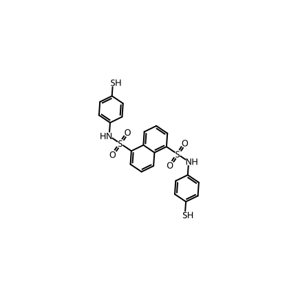 O=S(=O)(Nc1ccc(S)cc1)c1cccc2c(S(=O)(=O)Nc3ccc(S)cc3)cccc12